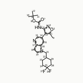 Cc1onc(NC(=O)OC(C)(C)C)c1-c1cnc2ccn(CC3CCC(F)(F)CC3)c2c1